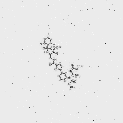 Cc1cc(C)c(S(=O)(=O)NC(CNC(=O)c2ccc(-c3cccc(N(C(=O)OC(C)(C)C)C(N)=NC(=O)OC(C)(C)C)c3)s2)C(=O)OC(C)(C)C)c(C)c1